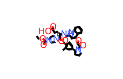 CCOC(=O)N1CCN(C(=O)[C@H](CCC(=O)O)NC(=O)c2cc(OCC(=O)N3CCCC3c3ccc(C)c(C)c3)c3ccccc3n2)CC1